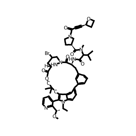 CCn1c(-c2cccnc2[C@H](C)OC)c2c3cc(ccc31)-c1cccc(c1)C[C@H](NC(=O)C(C(C)C)N(C)C(=O)[C@H]1CCN(C(=O)C#C[C@@H]3CCO3)C1)C(=O)N1CC(Br)C[C@H](N1)C(=O)OCC(C)(C)C2